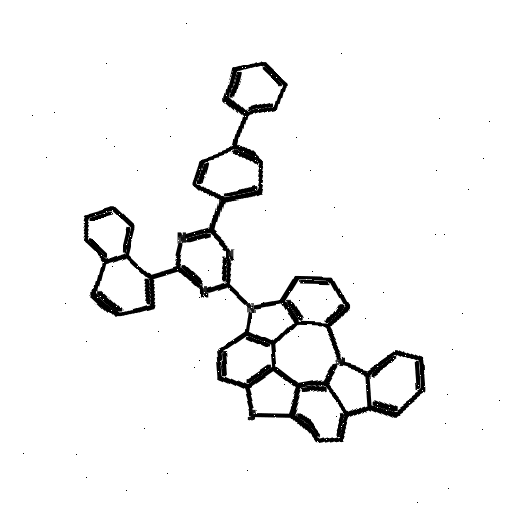 c1ccc(-c2ccc(-c3nc(-c4cccc5ccccc45)nc(-n4c5ccc6sc7ccc8c9ccccc9n9c%10cccc4c%10c5c6c7c89)n3)cc2)cc1